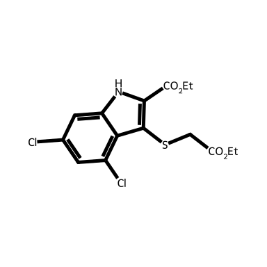 CCOC(=O)CSc1c(C(=O)OCC)[nH]c2cc(Cl)cc(Cl)c12